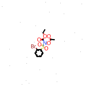 CCOC(=O)N(OC(C)=O)S(=O)(=O)c1ccccc1Br